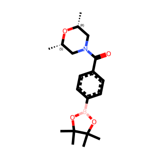 C[C@@H]1CN(C(=O)c2ccc(B3OC(C)(C)C(C)(C)O3)cc2)C[C@H](C)O1